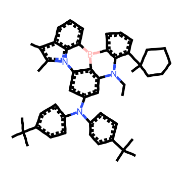 CCN1c2cc(N(c3ccc(C(C)(C)C)cc3)c3ccc(C(C)(C)C)cc3)cc3c2B(c2cccc(C4(C)CCCCC4)c21)c1cccc2c(C)c(C)n-3c12